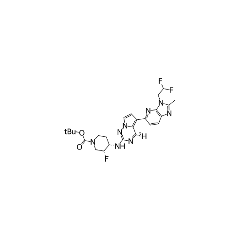 [2H]c1nc(N[C@H]2CCN(C(=O)OC(C)(C)C)C[C@H]2F)nn2ccc(-c3ccc4nc(C)n(CC(F)F)c4n3)c12